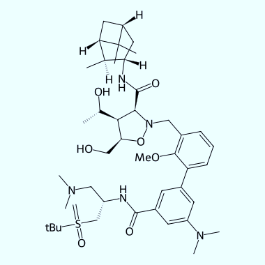 C=S(=O)(C[C@H](CN(C)C)NC(=O)c1cc(-c2cccc(CN3O[C@@H](CO)[C@@H]([C@H](C)O)[C@H]3C(=O)N[C@H]3C[C@H]4C[C@@H]([C@@H]3C)C4(C)C)c2OC)cc(N(C)C)c1)C(C)(C)C